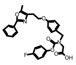 Cc1oc(-c2ccccc2)nc1CCOc1ccc(CN(CC(=O)O)C(=O)Oc2ccc(F)cc2)cc1